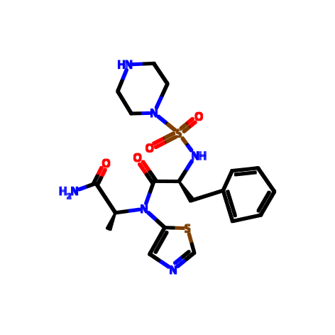 C[C@@H](C(N)=O)N(C(=O)[C@H](Cc1ccccc1)NS(=O)(=O)N1CCNCC1)c1cncs1